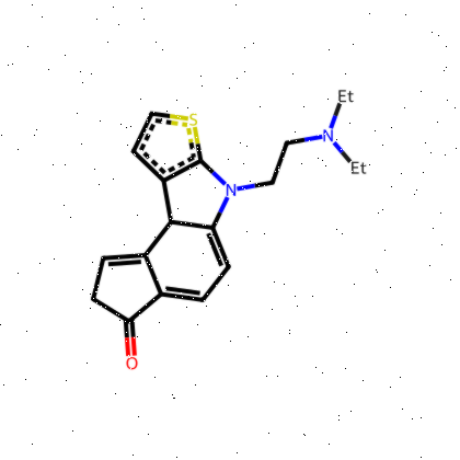 CCN(CC)CCN1C2=CC=C3C(=O)CC=C3C2c2ccsc21